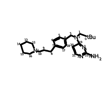 CC(C)(C)CN(Cc1ccc(CCCN2CCCCC2)cc1)c1ccnc(N)n1